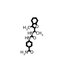 Cc1c([C@@H](C)NC(=O)Nc2ccc(C(N)=O)cc2)oc2ccccc12